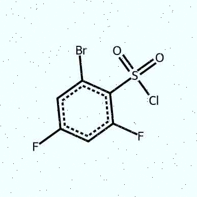 O=S(=O)(Cl)c1c(F)cc(F)cc1Br